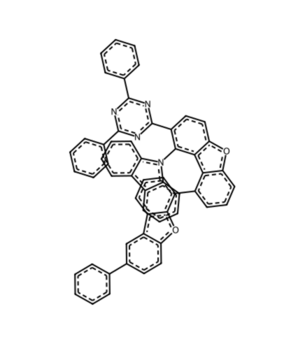 c1ccc(-c2ccc3oc4c(-c5cccc6oc7ccc(-c8nc(-c9ccccc9)nc(-c9ccccc9)n8)c(-n8c9ccccc9c9ccccc98)c7c56)cccc4c3c2)cc1